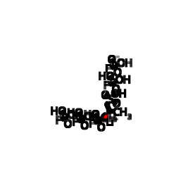 C=C(C)CS(=O)(=O)O.O=P(O)(O)F.O=P(O)(O)F.O=P(O)(O)F.O=P(O)(O)F.O=P([O-])(O)F.[Li+]